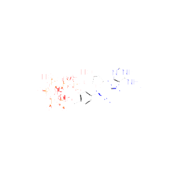 [N-]=[N+]=Nc1ccc(COP(=O)(O)OP(=O)(O)OP(=O)(O)OP(=O)(O)OP(=O)(O)OP(=O)(O)OC[C@H]2O[C@@H](n3cnc4c3N=CNC4N)C[C@H]2O)cc1